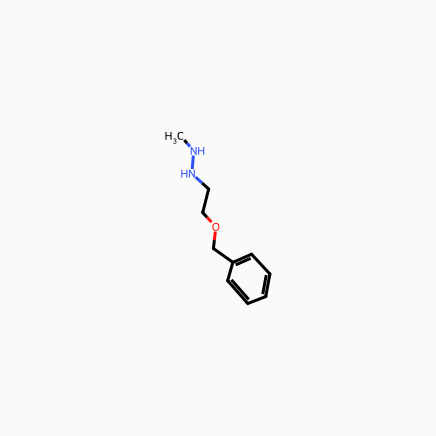 CNNCCOCc1ccccc1